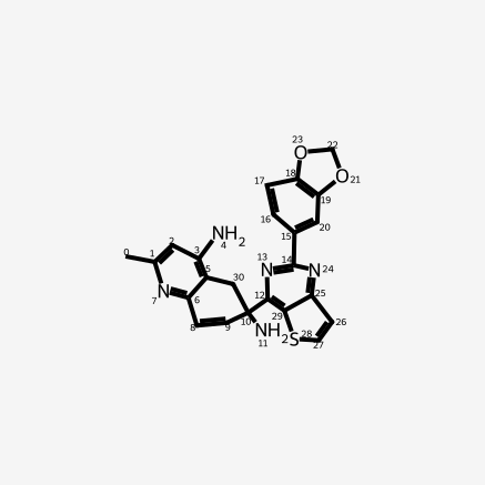 Cc1cc(N)c2c(n1)C=CC(N)(c1nc(-c3ccc4c(c3)OCO4)nc3ccsc13)C2